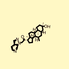 CC1C[C@H]2C[C@](C)(O)CC[C@]2(C)[C@H]2CC[C@]3(C)[C@@H](C(=O)Cn4ncc5ccncc54)CC[C@H]3[C@H]12